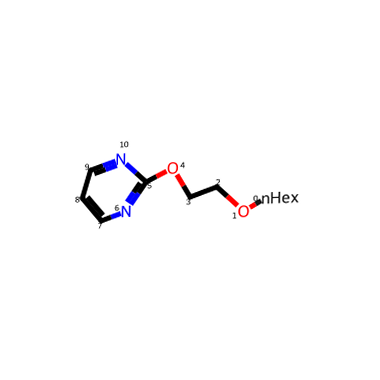 CCCCCCOCCOc1ncccn1